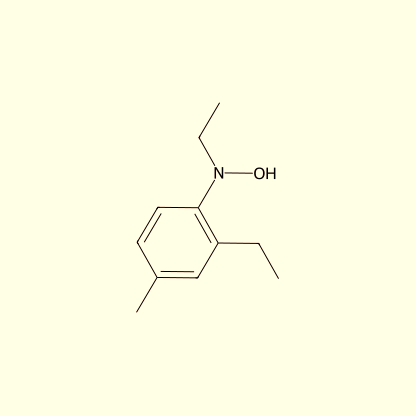 CCc1cc(C)ccc1N(O)CC